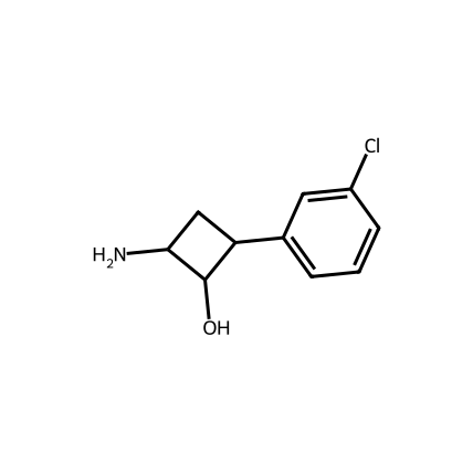 NC1CC(c2cccc(Cl)c2)C1O